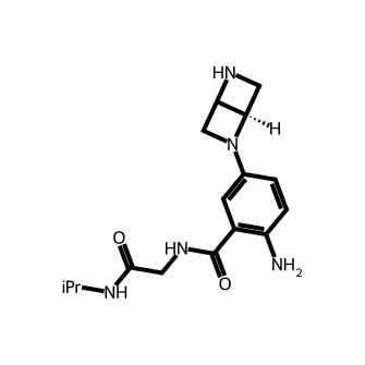 CC(C)NC(=O)CNC(=O)c1cc(N2CC3NC[C@H]32)ccc1N